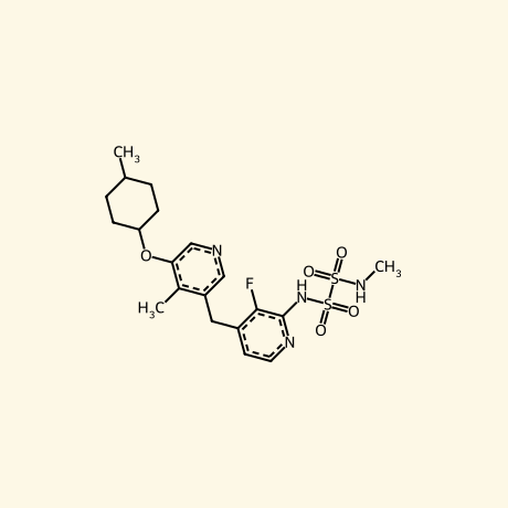 CNS(=O)(=O)S(=O)(=O)Nc1nccc(Cc2cncc(OC3CCC(C)CC3)c2C)c1F